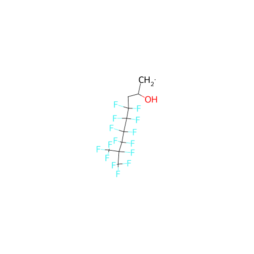 [CH2]C(O)CC(F)(F)C(F)(F)C(F)(F)C(F)(F)C(F)(C(F)(F)F)C(F)(F)F